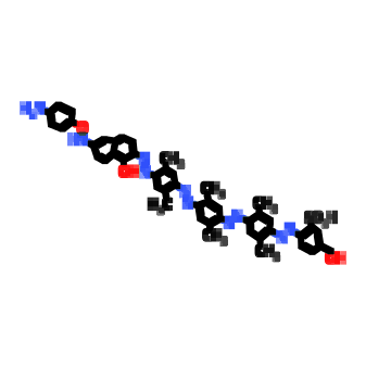 Cc1cc(N=Nc2cc(C)c(N=Nc3ccc4cc(NOc5ccc(N)cc5)ccc4c3O)cc2C)c(C)cc1N=Nc1cc(C)c(N=Nc2ccc(CO)cc2S(=O)(=O)O)cc1C